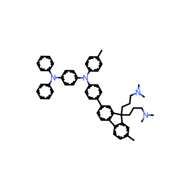 Cc1ccc(N(c2ccc(-c3ccc4c(c3)C(CCCN(C)C)(CCCN(C)C)c3cc(C)ccc3-4)cc2)c2ccc(N(c3ccccc3)c3ccccc3)cc2)cc1